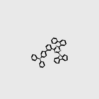 c1ccc(-c2ccccc2-c2nc(-c3cccc(-c4ccc(N(c5ccccc5)c5ccccc5)cc4)c3)nc(-n3c4ccccc4c4ccccc43)n2)cc1